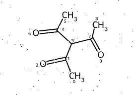 CC(=O)C(C(C)=O)C(C)=O